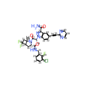 NC(=O)c1nn(CC(=O)N2[C@@H]3CC(F)(F)C3C[C@H]2C(=O)NCc2cccc(Cl)c2F)c2ccc(C#Cc3ncccn3)cc12